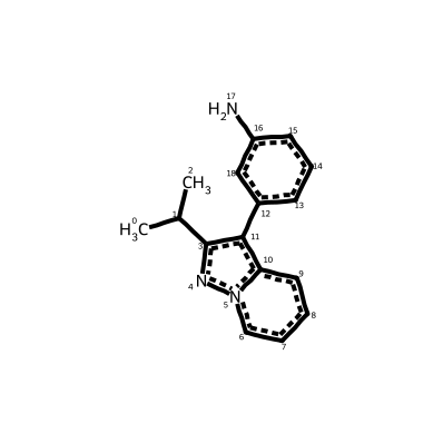 CC(C)c1nn2ccccc2c1-c1cccc(N)c1